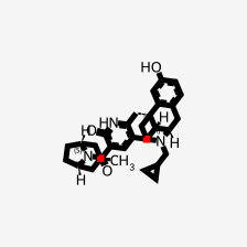 C[C@H]1C[C@H]2CC[C@@H](C1)N2C(=O)c1cc2c([nH]c1=O)C[C@]13CCN(CC4CC4)[C@H](Cc4ccc(O)cc41)[C@@H]3C2